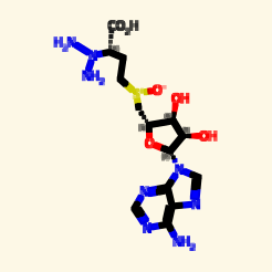 Nc1ncnc2c1ncn2[C@@H]1O[C@H](C[S+]([O-])CC[C@@H](C(=O)O)N(N)N)[C@@H](O)[C@H]1O